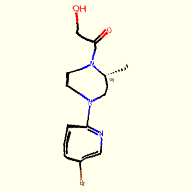 C[C@@H]1CN(c2ccc(Br)cn2)CCN1C(=O)CO